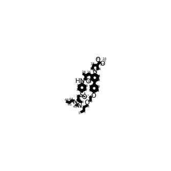 CCCCOCCOc1ccc(-c2ccc(N3CCC(C(=O)OC)C3)c(C=C(C)C(=O)Nc3ccc([S@@+]([O-])Cc4cncn4CCC)cc3)c2)cc1